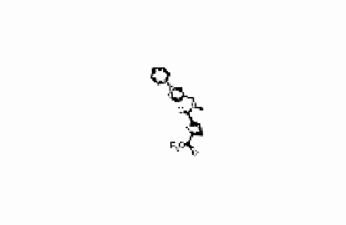 CN(Cc1cnn(-c2ccccc2)c1)C(=O)c1ccc(C(=O)C(F)(F)F)s1